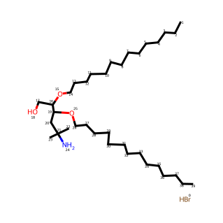 Br.CCCCCCCCCCCCCCOC(CO)C(CC(C)(C)N)OCCCCCCCCCCCCCC